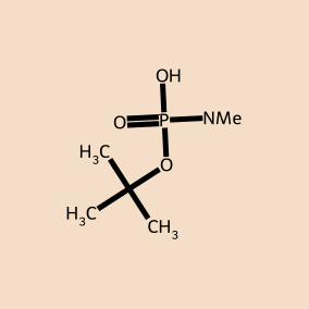 CNP(=O)(O)OC(C)(C)C